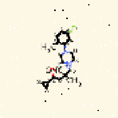 Cc1ccc(F)cc1N1CCN(CC(C)(C=O)CC(=O)C2CC2)CC1